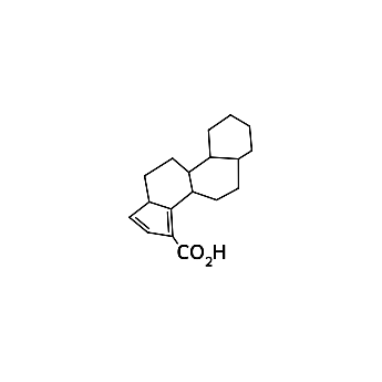 O=C(O)C1=C2C(C=C1)CCC1C2CCC2CCCCC21